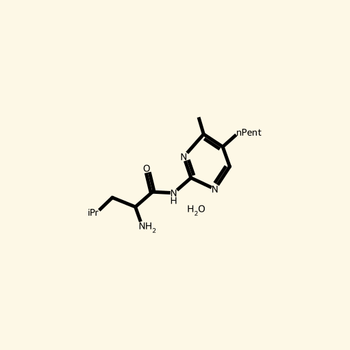 CCCCCc1cnc(NC(=O)C(N)CC(C)C)nc1C.O